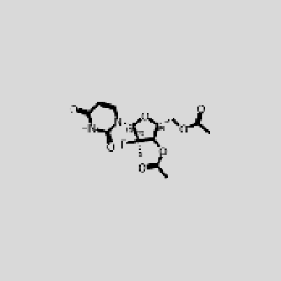 CC(=O)OC[C@H]1O[C@@H](n2ccc(=O)[nH]c2=O)[C@](C)(F)C1OC(C)=O